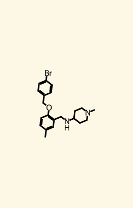 Cc1ccc(OCc2ccc(Br)cc2)c(CNC2CCN(C)CC2)c1